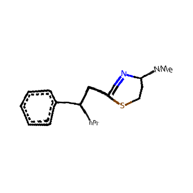 CCCC(CC1=NC(NC)CS1)c1ccccc1